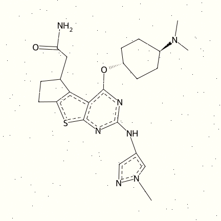 Cn1cc(Nc2nc(O[C@H]3CC[C@H](N(C)C)CC3)c3c4c(sc3n2)CCC4CC(N)=O)cn1